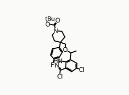 CC(OCC1(c2ccc(F)cc2)CCN(C(=O)OC(C)(C)C)CC1)c1cc(Cl)cc2c(Cl)n[nH]c12